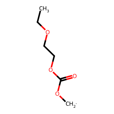 [CH2]OC(=O)OCCOCC